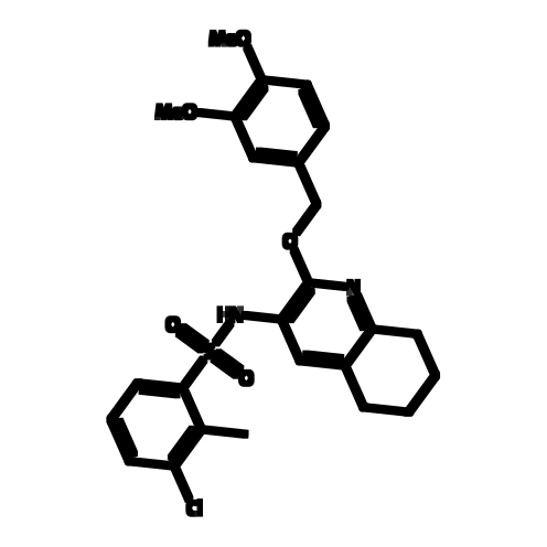 COc1ccc(COc2nc3c(cc2NS(=O)(=O)c2cccc(Cl)c2C)CCCC3)cc1OC